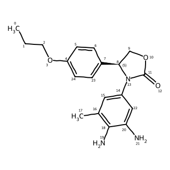 CCCOc1ccc([C@H]2COC(=O)N2c2cc(C)c(N)c(N)c2)cc1